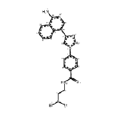 CCN(CC)CCNC(=O)c1ccc(-n2cc(-c3cnc(N)c4ccccc34)nn2)cc1